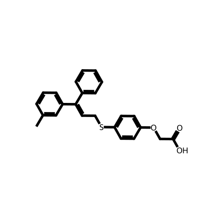 Cc1cccc(C(=CCSc2ccc(OCC(=O)O)cc2)c2ccccc2)c1